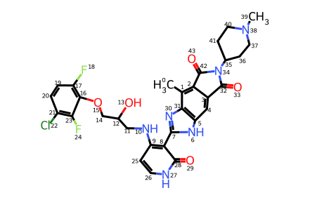 Cc1c2c(cc3[nH]c(-c4c(NCC(O)COc5c(F)ccc(Cl)c5F)cc[nH]c4=O)nc13)C(=O)N(C1CCN(C)CC1)C2=O